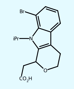 CC(C)n1c2c(c3cccc(Br)c31)CCOC2CC(=O)O